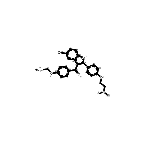 CCN(CC)CCOc1ccc(-c2oc3ccc(Cl)cc3c2C(=O)c2ccc(OCC(=O)O)cc2)cc1